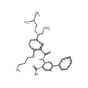 CCCCOc1ccc(N(CC)CCN(C)C)cc1C(=O)Nc1cc(-c2ccccc2)ccc1C(=O)O